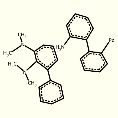 CN(C)c1cccc(-c2ccccc2)c1N(C)C.Nc1ccccc1-c1cccc[c]1[Pd]